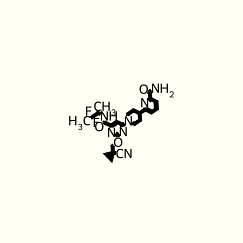 C[C@H](NC(=O)c1cc(N2CCC(c3cccc(C(N)=O)n3)CC2)nc(OCC2(C#N)CC2)n1)C(C)(F)F